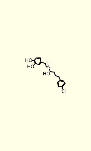 Oc1ccc(CCNC(O)CCCc2ccc(Cl)cc2)cc1O